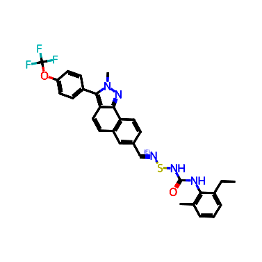 CCc1cccc(C)c1NC(=O)NS/N=C/c1ccc2c(ccc3c(-c4ccc(OC(F)(F)F)cc4)n(C)nc32)c1